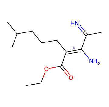 CCOC(=O)/C(CCCC(C)C)=C(\N)C(C)=N